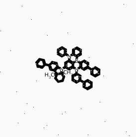 CC12CCCCC1(C)N(c1cc3c4c(c1)N(c1cccc(-c5ccccc5)c1)c1cc(-c5ccccc5)ccc1B4c1ccccc1N3c1ccccc1)c1ccc(-c3ccccc3)cc12